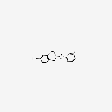 O=S(=O)(c1cccc(C(F)(F)F)c1)N1CCc2cc(Br)ccc2C1